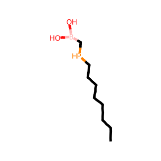 CCCCCCCCPCB(O)O